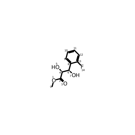 COC(=O)[C@@H](O)[C@H](O)c1ccccc1F